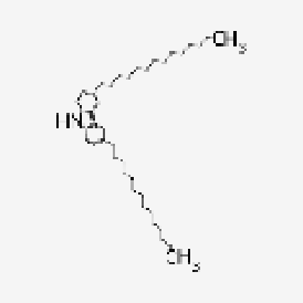 CCCCCCCCCCCCCCc1ccc2[nH]c3ccc(CCCCCCCCCCCCCC)cc3c2c1